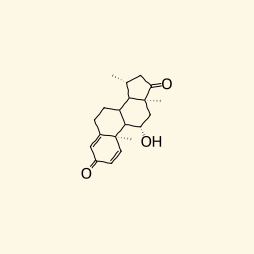 C[C@@H]1CC(=O)[C@@]2(C)C[C@H](O)C3C(CCC4=CC(=O)C=C[C@@]43C)C12